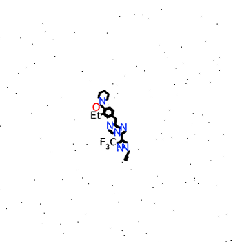 C#CCn1cc(-c2cnc3c(Cc4ccc(C(=O)N5CCCCC5)c(CC)c4)nccn23)c(C(F)(F)F)n1